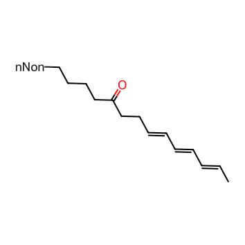 CC=CC=CC=CCCC(=O)CCCCCCCCCCCCC